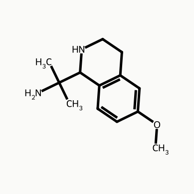 COc1ccc2c(c1)CCNC2C(C)(C)N